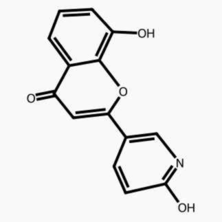 O=c1cc(-c2ccc(O)nc2)oc2c(O)cccc12